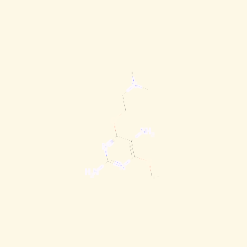 CCCOc1nc(N)nc(OCCN(CC)CC)c1N